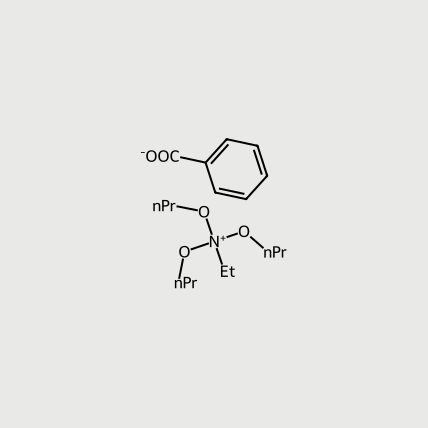 CCCO[N+](CC)(OCCC)OCCC.O=C([O-])c1ccccc1